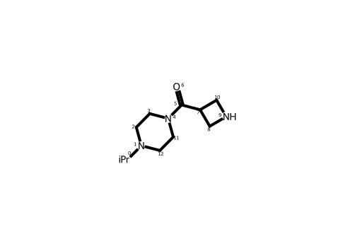 CC(C)N1CCN(C(=O)C2CNC2)CC1